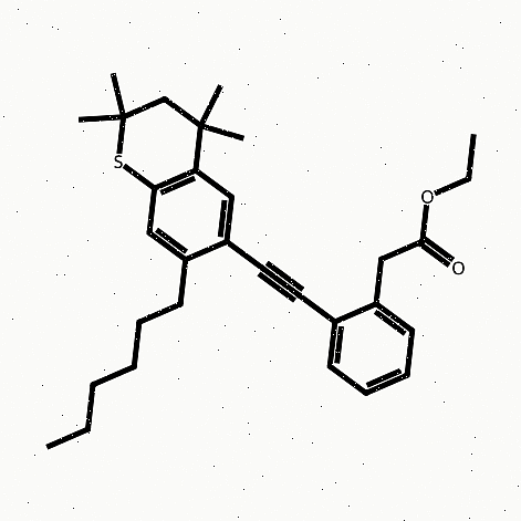 CCCCCCc1cc2c(cc1C#Cc1ccccc1CC(=O)OCC)C(C)(C)CC(C)(C)S2